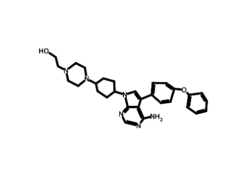 Nc1ncnc2c1c(-c1ccc(Oc3ccccc3)cc1)cn2C1CCC(N2CCN(CCO)CC2)CC1